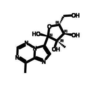 Cc1ncnn2c([C@]3(O)O[C@H](CO)[C@@H](O)[C@@]3(C)O)cnc12